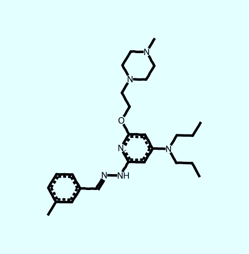 CCCN(CCC)c1cc(N/N=C/c2cccc(C)c2)nc(OCCN2CCN(C)CC2)c1